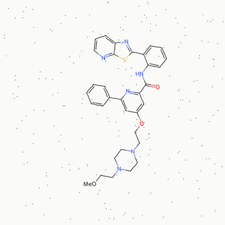 COCCN1CCN(CCOc2cc(C(=O)Nc3ccccc3-c3nc4cccnc4s3)nc(-c3ccccc3)c2)CC1